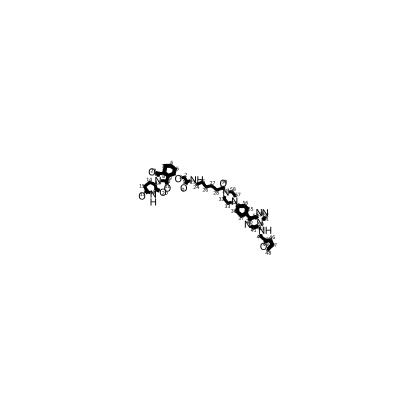 O=C(COc1cccc2c1C(=O)N(C1CCC(=O)NC1=O)C2=O)NCCCCCC(=O)N1CCN(c2ccc(-c3ncc(NCc4ccco4)n4cnnc34)cc2)CC1